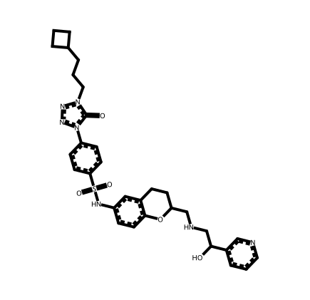 O=c1n(CCCC2CCC2)nnn1-c1ccc(S(=O)(=O)Nc2ccc3c(c2)CCC(CNCC(O)c2cccnc2)O3)cc1